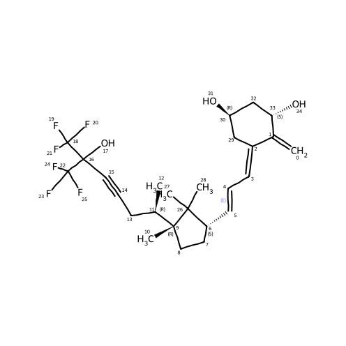 C=C1C(=C/C=C/[C@@H]2CC[C@](C)([C@H](C)CC#CC(O)(C(F)(F)F)C(F)(F)F)C2(C)C)C[C@@H](O)C[C@@H]1O